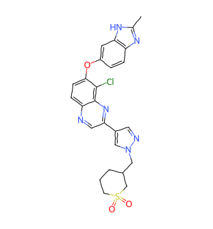 Cc1nc2ccc(Oc3ccc4ncc(-c5cnn(CC6CCCS(=O)(=O)C6)c5)nc4c3Cl)cc2[nH]1